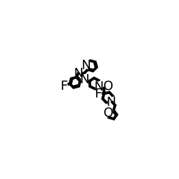 O=C(N1CCC(n2c(-c3ccccn3)nc3cc(F)ccc32)CC1)C1(F)CCN(CC2=CCCO2)CC1